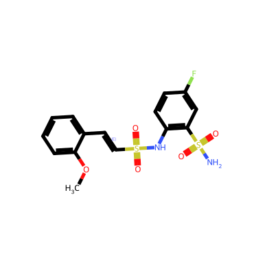 COc1ccccc1/C=C/S(=O)(=O)Nc1ccc(F)cc1S(N)(=O)=O